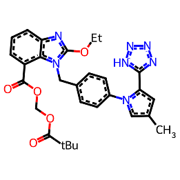 CCOc1nc2cccc(C(=O)OCOC(=O)C(C)(C)C)c2n1Cc1ccc(-n2cc(C)cc2-c2nnn[nH]2)cc1